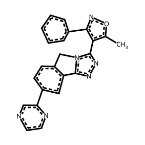 Cc1onc(-c2ccccc2)c1-c1nnc2n1Cc1ccc(-c3cnccn3)cc1-2